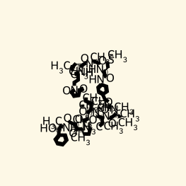 CC[C@H](C)[C@@H]([C@@H](CC(=O)N1CCC[C@H]1[C@H](OC)[C@@H](C)C(=O)N[C@H](C)[C@@H](O)c1ccccc1)OC)N(C)C(=O)[C@@H](NC(=O)[C@H](C(C)C)N(C)C(=O)OCc1ccc(NC(=O)[C@H](CCSC)NC(=O)[C@H](C)NC(=O)[C@@H](CC(C)C)NC(=O)CCN2C(=O)C=CC2=O)cc1)C(C)C